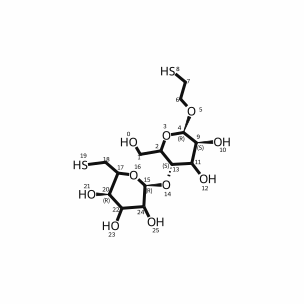 OCC1O[C@@H](OCCS)[C@@H](O)C(O)[C@@H]1O[C@@H]1OC(CS)[C@H](O)C(O)C1O